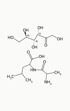 CC(C)CC(NC(=O)C(C)N)C(=O)O.O=C(CO)[C@@H](O)[C@H](O)[C@H](O)CO